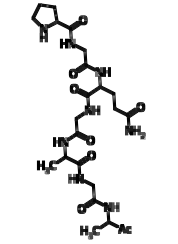 CC(=O)C(C)NC(=O)CNC(=O)C(C)NC(=O)CNC(=O)C(CCC(N)=O)NC(=O)CNC(=O)C1CCCN1